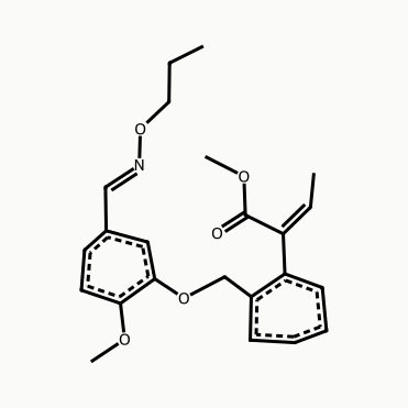 CC=C(C(=O)OC)c1ccccc1COc1cc(C=NOCCC)ccc1OC